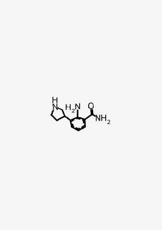 NC(=O)c1cccc(C2CCNC2)c1N